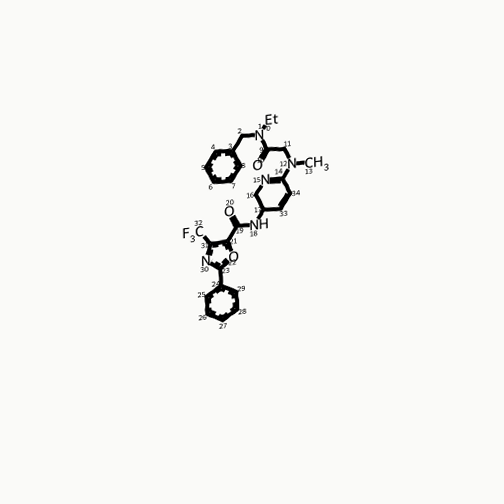 CCN(Cc1ccccc1)C(=O)CN(C)C1=NCC(NC(=O)c2oc(-c3ccccc3)nc2C(F)(F)F)C=C1